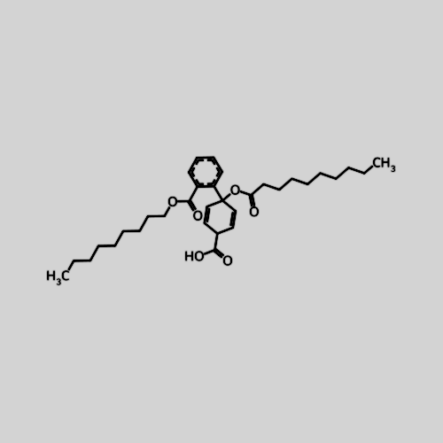 CCCCCCCCCOC(=O)c1ccccc1C1(OC(=O)CCCCCCCCC)C=CC(C(=O)O)C=C1